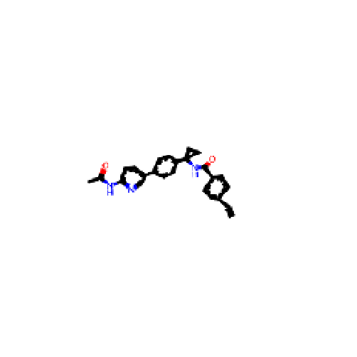 C#Cc1ccc(C(=O)NC2(c3ccc(-c4ccc(NC(C)=O)nc4)cc3)CC2)cc1